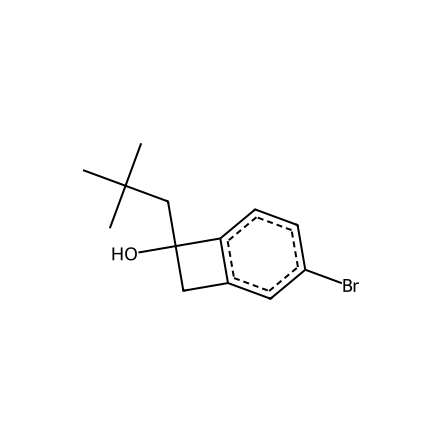 CC(C)(C)CC1(O)Cc2cc(Br)ccc21